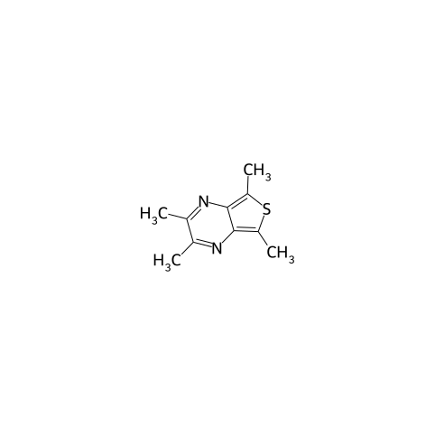 Cc1nc2c(C)sc(C)c2nc1C